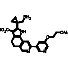 COCCOc1cncc(-c2cc3c(cn2)CCc2c-3[nH]c(C3(CN)CC3)c2C(=O)O)c1